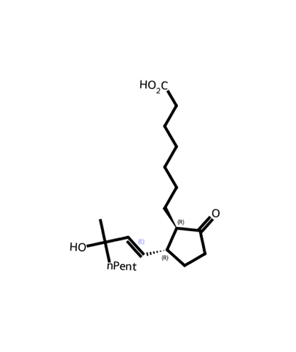 CCCCCC(C)(O)/C=C/[C@H]1CCC(=O)[C@@H]1CCCCCCC(=O)O